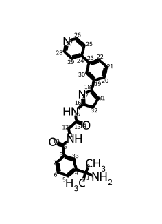 CC(C)(N)c1cccc(C(=O)NCC(=O)NC2=NC(c3cccc(-c4ccncc4)c3)=CC2)c1